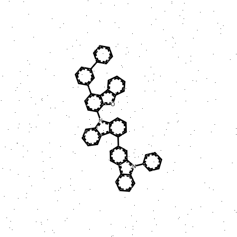 c1ccc(-c2cccc(-c3ccc(-n4c5ccccc5c5c(-c6ccc7c8ccccc8n(-c8ccccc8)c7c6)cccc54)c4oc5ccccc5c34)c2)cc1